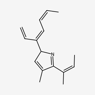 C=C/C(=C\C=C/C)C1C=C(C)C(/C(C)=C\C)=N1